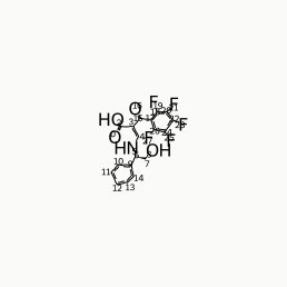 O=C(O)/C(=C\N[C@@H](CO)c1ccccc1)C(=O)c1c(F)c(F)c(F)c(F)c1F